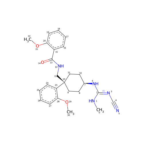 CN/C(=N\C#N)N[C@H]1CC[C@](CNC(=O)c2ccccc2OC)(c2ccccc2OC)CC1